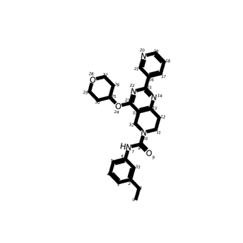 CCc1cccc(NC(=O)N2CCc3nc(-c4cccnc4)nc(OC4CCOCC4)c3C2)c1